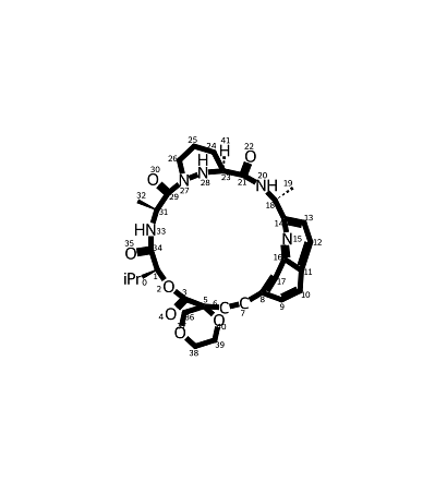 CC(C)[C@@H]1OC(=O)C2(CCc3ccc4ccc(nc4c3)[C@@H](C)NC(=O)[C@@H]3CCCN(N3)C(=O)[C@H](C)NC1=O)COCCO2